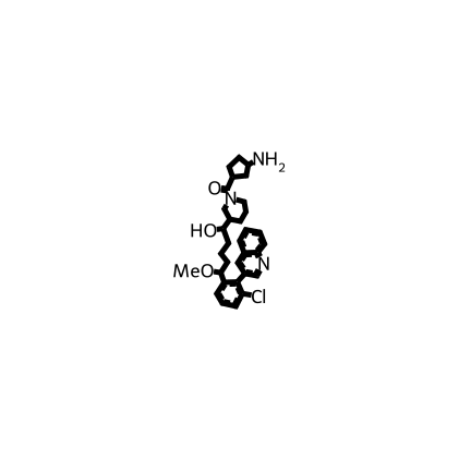 COC(CCCC(O)C1CCCN(C(=O)C2CCC(N)C2)C1)c1cccc(Cl)c1-c1cnc2ccccc2c1